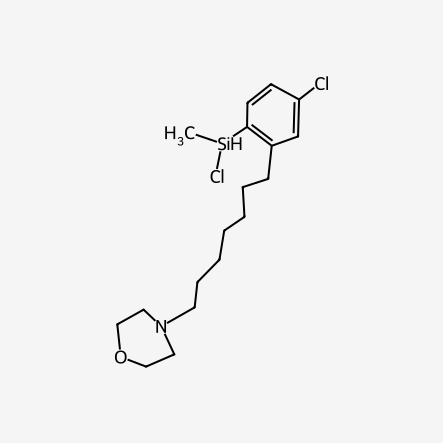 C[SiH](Cl)c1ccc(Cl)cc1CCCCCCCN1CCOCC1